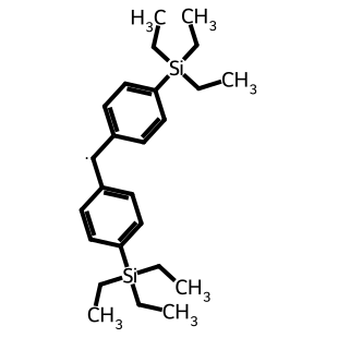 CC[Si](CC)(CC)c1ccc([CH]c2ccc([Si](CC)(CC)CC)cc2)cc1